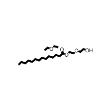 CCCCCCCCCCCCCC(=O)OCCOCCO.CCOCC